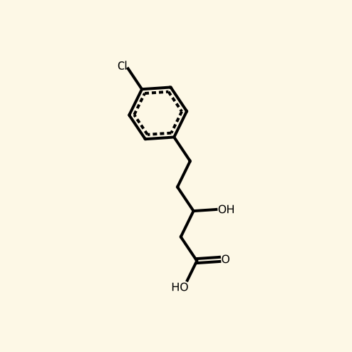 O=C(O)CC(O)CCc1ccc(Cl)cc1